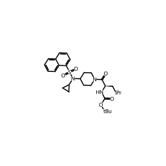 CC(C)C[C@@H](NC(=O)OC(C)(C)C)C(=O)N1CCC(N(C2CC2)S(=O)(=O)c2cccc3ccccc23)CC1